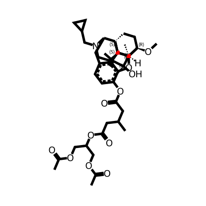 CO[C@]12CC[C@@]3(C[C@@H]1[C@](C)(O)C(C)(C)C)C1Cc4ccc(OC(=O)CC(C)CC(=O)OC(COC(C)=O)COC(C)=O)c5c4[C@@]3(CCN1CC1CC1)[C@]2(C)O5